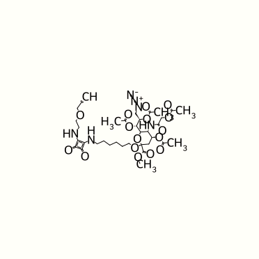 C#CCOCCNc1c(NCCCCCCO[C@]2(C(=O)OC)C[C@H](OC(C)=O)[C@@H](NC(=O)COC(C)=O)[C@H]([C@H](OC(C)=O)[C@@H](CN=[N+]=[N-])OC(C)=O)O2)c(=O)c1=O